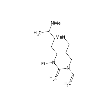 C=CN(CCCNC)C(=C)N(CC)CCCC(C)NC